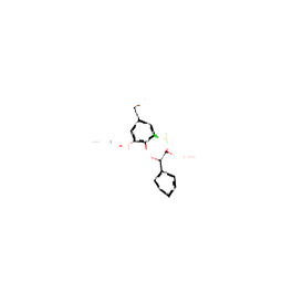 COc1cc(CBr)cc(Cl)c1OC(C(=O)O)c1ccccc1